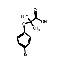 CC(C)(Oc1ccc(Br)cc1)C(=O)O